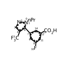 CCCn1ncc(C(F)(F)F)c1-c1cc(F)cc(C(=O)O)c1